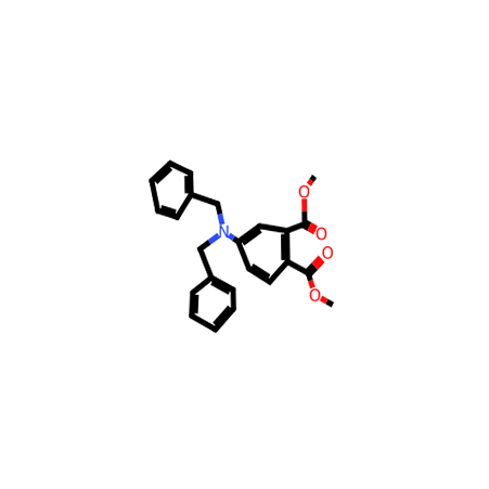 COC(=O)c1ccc(N(Cc2ccccc2)Cc2ccccc2)cc1C(=O)OC